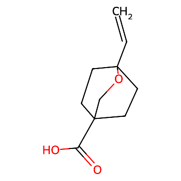 C=CC12CCC(C(=O)O)(CC1)CO2